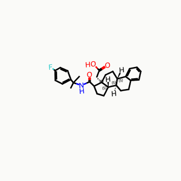 CC(C)(NC(=O)C1CC[C@H]2[C@@H]3CCc4ccccc4[C@H]3CC[C@]12CC(=O)O)c1ccc(F)cc1